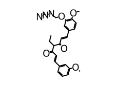 CCC(C(=O)/C=C/c1cccc(OC)c1)C(=O)/C=C/c1ccc(OC)c(OCN=[N+]=[N-])c1